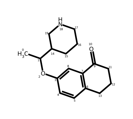 CC(Oc1ccc2c(c1)C(=O)CCC2)C1CCCNC1